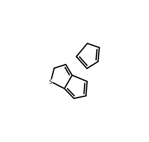 C1=CC2=CCSC2=C1.C1=CCC=C1